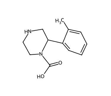 Cc1ccccc1C1CNCCN1C(=O)O